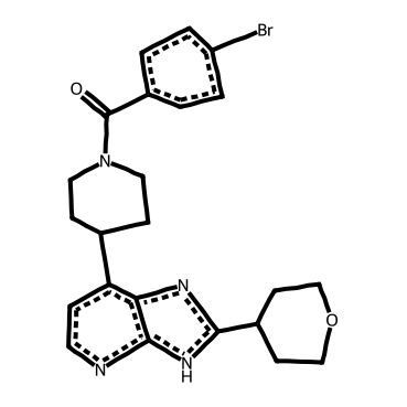 O=C(c1ccc(Br)cc1)N1CCC(c2ccnc3[nH]c(C4CCOCC4)nc23)CC1